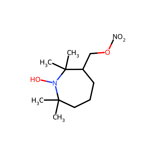 CC1(C)CCCC(CO[N+](=O)[O-])C(C)(C)N1O